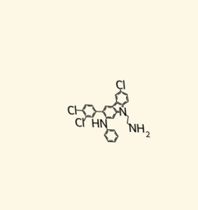 NCCn1c2ccc(Cl)cc2c2cc(-c3ccc(Cl)c(Cl)c3)c(Nc3ccccc3)cc21